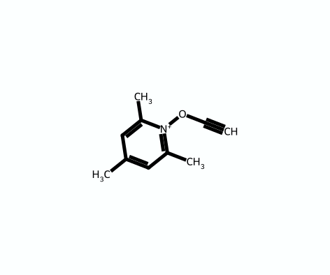 C#CO[n+]1c(C)cc(C)cc1C